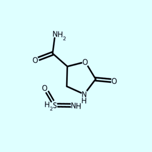 N=[SH2]=O.NC(=O)C1CNC(=O)O1